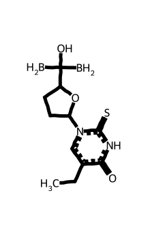 BC(B)(O)C1CCC(n2cc(CC)c(=O)[nH]c2=S)O1